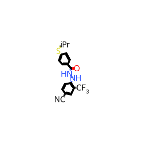 CC(C)Sc1ccc(C(=O)NNc2ccc(C#N)cc2C(F)(F)F)cc1